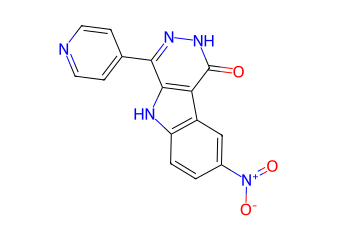 O=c1[nH]nc(-c2ccncc2)c2[nH]c3ccc([N+](=O)[O-])cc3c12